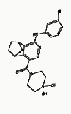 O=C(c1cnc(Nc2cccc(Cl)c2)c2c1C1CCC2C1)N1CCS(O)(O)CC1